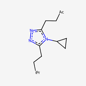 CC(=O)CCc1nnc(CCC(C)C)n1C1CC1